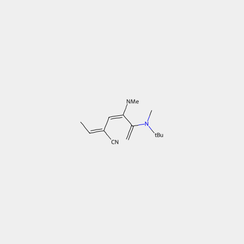 C=C(/C(=C\C(C#N)=C/C)NC)N(C)C(C)(C)C